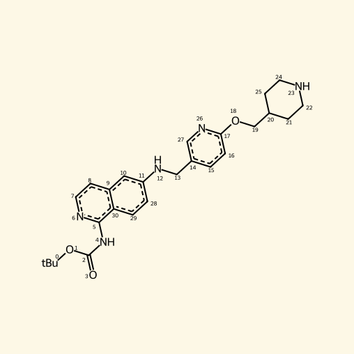 CC(C)(C)OC(=O)Nc1nccc2cc(NCc3ccc(OCC4CCNCC4)nc3)ccc12